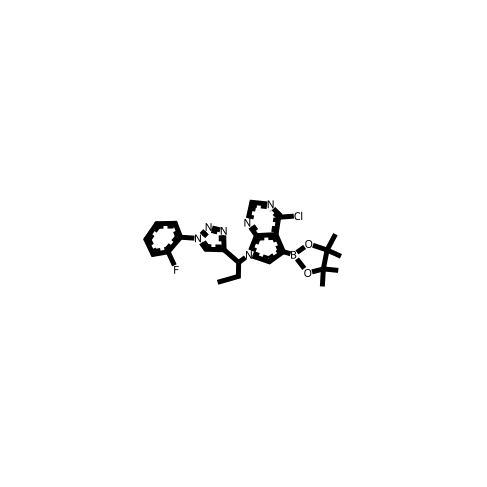 CCC(c1cn(-c2ccccc2F)nn1)n1cc(B2OC(C)(C)C(C)(C)O2)c2c(Cl)ncnc21